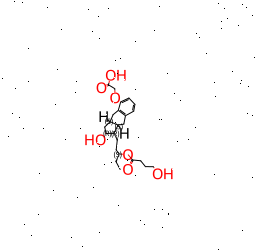 CC[C@@H](CC[C@@H]1[C@H]2Cc3cccc(OCC(=O)O)c3C[C@H]2C[C@H]1O)OC(=O)CCCO